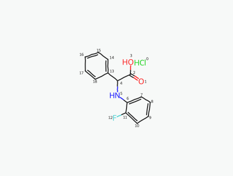 Cl.O=C(O)C(Nc1ccccc1F)c1ccccc1